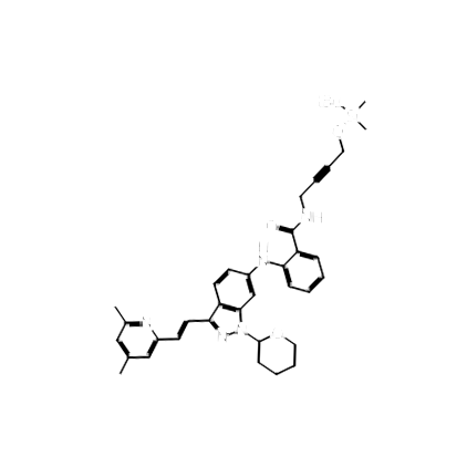 Cc1cc(C)nc(C=Cc2nn(C3CCCCO3)c3cc(Nc4ccccc4C(=O)NCC#CCO[Si](C)(C)C(C)(C)C)ccc23)c1